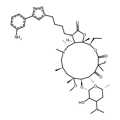 CC[C@H]1OC(=O)C(C)(F)C(=O)[C@H](C)[C@@H](O[C@@H]2O[C@H](C)CC(N(C)C)C2O)[C@](C)(OC)C[C@@H](C)CN(C)[C@H](C)[C@H]2N(CCCCn3cc(-c4cccc(N)c4)nn3)C(=O)O[C@]12C